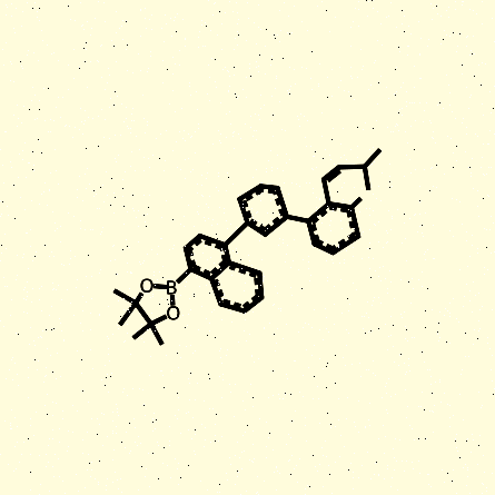 Cc1cccc(-c2cccc(-c3ccc(B4OC(C)(C)C(C)(C)O4)c4ccccc34)c2)c1/C=C\C(C)C